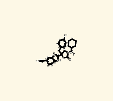 C[C@H](C1CCCCC1)N1C(=O)OC(Cc2ccc(F)cc2)(c2nc3cc(C#N)ccc3[nH]2)C1=O